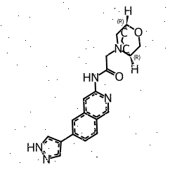 O=C(CN1C[C@H]2CCC[C@@H]1CO2)Nc1cc2cc(-c3cn[nH]c3)ccc2cn1